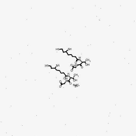 C[C@@H](O)[C@H](NC(=O)CCCCC(S)CCS)C(=O)NCC(=O)[O-].C[C@@H](O)[C@H](NC(=O)CCCCC(S)CCS)C(=O)NCC(=O)[O-].[NaH].[Zn+2]